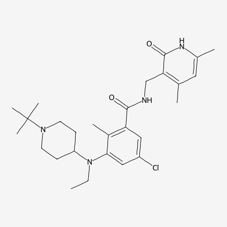 CCN(c1cc(Cl)cc(C(=O)NCc2c(C)cc(C)[nH]c2=O)c1C)C1CCN(C(C)(C)C)CC1